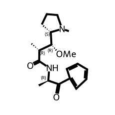 CO[C@H]([C@@H](C)C(=O)N[C@H](C)C(=O)c1ccccc1)[C@@H]1CCCN1C